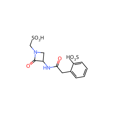 O=C(Cc1ccccc1S(=O)(=O)O)NC1CN(CS(=O)(=O)O)C1=O